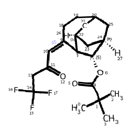 CC(C)(C)C(=O)O[C@@H]1C2/C(=C\C(=O)CC(F)(F)F)CCC3C[C@H]2C[C@H]1C3